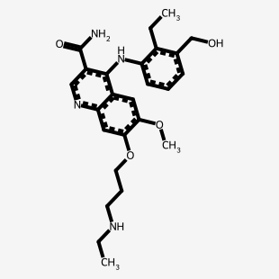 CCNCCCOc1cc2ncc(C(N)=O)c(Nc3cccc(CO)c3CC)c2cc1OC